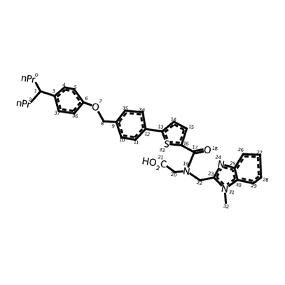 CCCC(CCC)c1ccc(OCc2ccc(-c3ccc(C(=O)N(CC(=O)O)Cc4nc5ccccc5n4C)s3)cc2)cc1